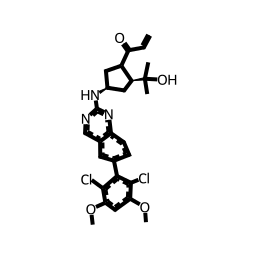 C=CC(=O)C1C[C@H](Nc2ncc3cc(-c4c(Cl)c(OC)cc(OC)c4Cl)ccc3n2)C[C@@H]1C(C)(C)O